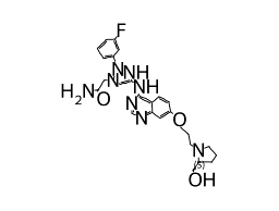 NC(=O)CN1C=C(Nc2ncnc3cc(OCCCN4CCC[C@H]4CO)ccc23)NN1c1cccc(F)c1